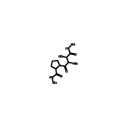 CCCCC(C(=O)N1CCCC1C(=O)NC(C)(C)C)C(O)C(=O)NO